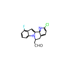 O=CCC1Cc2ccc(Cl)nc2-c2cc3c(F)cccc3n21